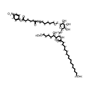 CCCCCCCCCCCCCCCCCCCCCCCCCC(=O)N[C@@H](CO[C@H]1O[C@H](COCCCCCCNC(=O)CCCCC(=O)Oc2ccc([N+](=O)[O-])cc2)[C@H](O)[C@H](O)[C@H]1O)[C@H](O)[C@H](O)CCCCCCCCCCCCCC